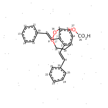 C(=Cc1c2ccc(c1C=Cc1ccccc1)OOCC2)c1ccccc1.O=C(O)O